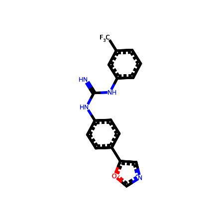 N=C(Nc1ccc(-c2cnco2)cc1)Nc1cccc(C(F)(F)F)c1